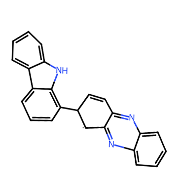 [CH]1c2nc3ccccc3nc2C=CC1c1cccc2c1[nH]c1ccccc12